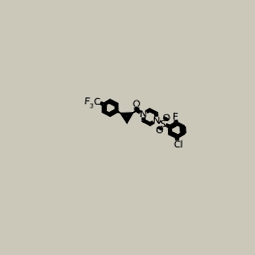 O=C([C@H]1C[C@H]1c1ccc(C(F)(F)F)cc1)N1CCN(S(=O)(=O)c2cc(Cl)c#cc2F)CC1